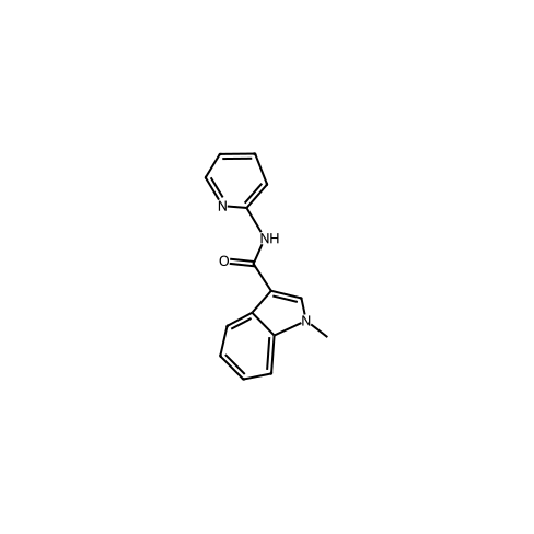 Cn1cc(C(=O)Nc2ccccn2)c2ccccc21